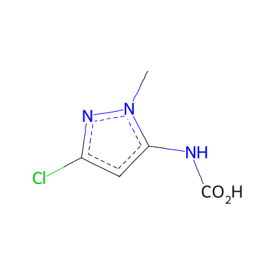 Cn1nc(Cl)cc1NC(=O)O